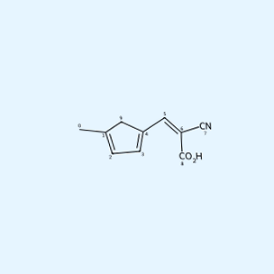 CC1=CC=C(/C=C(/C#N)C(=O)O)C1